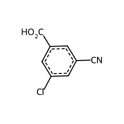 N#Cc1cc(Cl)cc(C(=O)O)c1